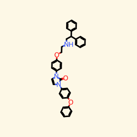 O=c1n(-c2ccc(OCCNCC(c3ccccc3)c3ccccc3)cc2)ccn1-c1ccc(Oc2ccccc2)cc1